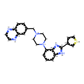 c1cc(N2CCN(Cc3ccc4nccnc4c3)CC2)c2nc(-c3ccsc3)[nH]c2c1